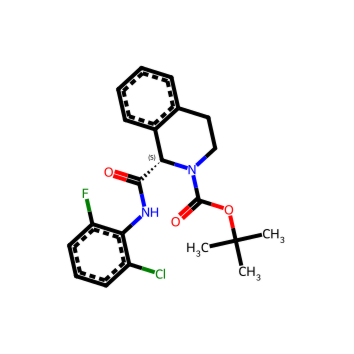 CC(C)(C)OC(=O)N1CCc2ccccc2[C@H]1C(=O)Nc1c(F)cccc1Cl